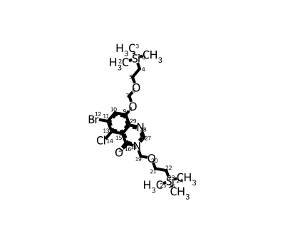 C[Si](C)(C)CCOCOc1cc(Br)c(Cl)c2c(=O)n(COCC[Si](C)(C)C)cnc12